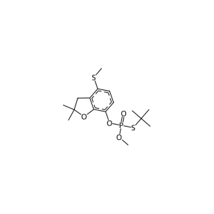 COP(=O)(Oc1ccc(SC)c2c1OC(C)(C)C2)SC(C)(C)C